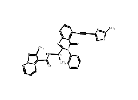 Cc1nc(C#Cc2cccc3nc([C@@H](C)NC(=O)c4c(C)nn5cccnc45)n(-c4ccccc4)c(=O)c23)cs1